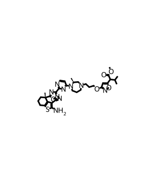 COC(=O)C(c1cc(OCCCN2CCCN(c3ccnc(-c4noc([C@@]5(C)CCCc6sc(N)c(C#N)c65)n4)n3)[C@@H](C)C2)no1)C(C)C